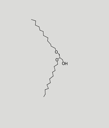 CCCCCCCCCCCCOC[C@@H](CO)OCCCCCCCCCCCC